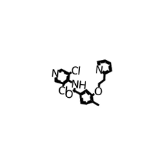 Cc1ccc(C(=O)Nc2c(Cl)cncc2Cl)cc1OCCc1ccccn1